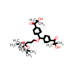 CC(C)(O)C(=O)c1ccc(C(OCCC[Si](C)(O[Si](C)(C)C)O[Si](C)(C)C)c2ccc(C(=O)C(C)(C)O)cc2)cc1